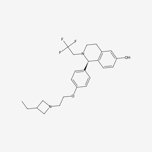 CCC1CN(CCOc2ccc([C@@H]3c4ccc(O)cc4CCN3CC(F)(F)F)cc2)C1